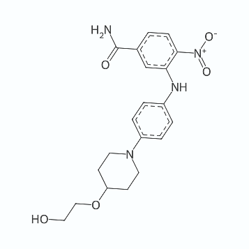 NC(=O)c1ccc([N+](=O)[O-])c(Nc2ccc(N3CCC(OCCO)CC3)cc2)c1